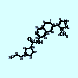 Cn1nncc1-c1ccc2cnc(NC(=O)C3CCN(CCF)C3)cc2c1